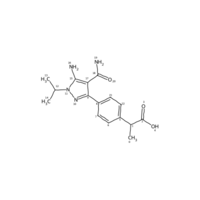 CC(C(=O)O)c1ccc(-c2nn(C(C)C)c(N)c2C(N)=O)cc1